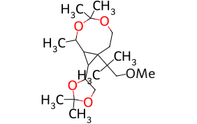 COCC(C)(C)C12CCOC(C)(C)OC(C)C1C2C1COC(C)(C)O1